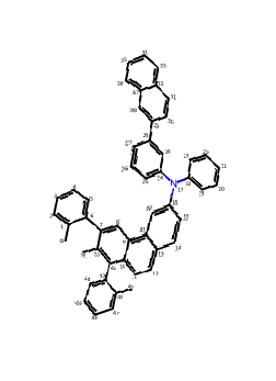 Cc1ccccc1-c1cc2c(ccc3ccc(N(c4ccccc4)c4cccc(-c5ccc6ccccc6c5)c4)cc32)c(-c2ccccc2C)c1C